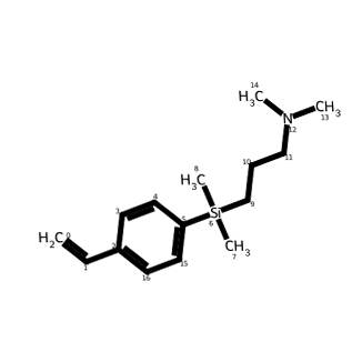 C=Cc1ccc([Si](C)(C)CCCN(C)C)cc1